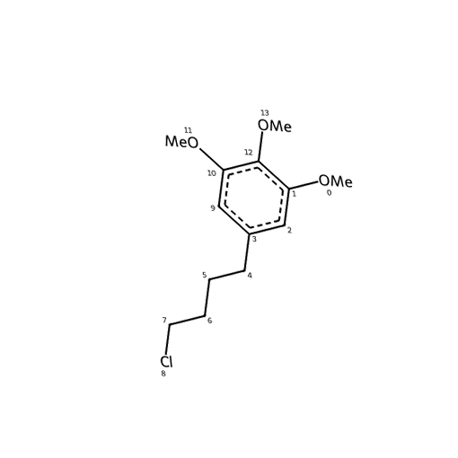 COc1cc(CCCCCl)cc(OC)c1OC